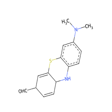 CN(C)c1ccc2c(c1)SC1=CC(C=O)C=CC1N2